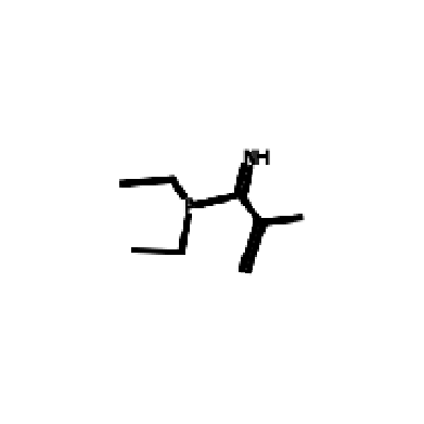 C=C(C)C(=N)P(CC)CC